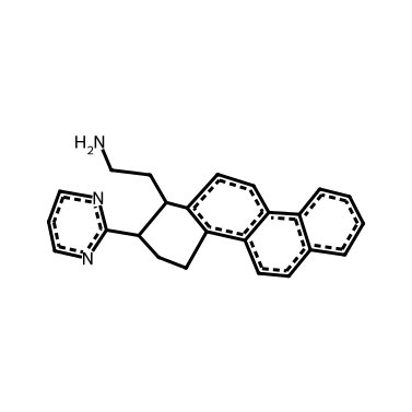 NCCC1c2ccc3c(ccc4ccccc43)c2CCC1c1ncccn1